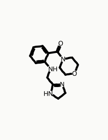 O=C(c1ccccc1NCC1=NCCN1)N1CCOCC1